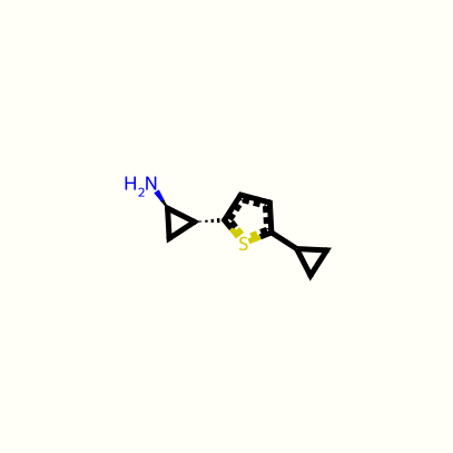 N[C@@H]1C[C@H]1c1ccc(C2CC2)s1